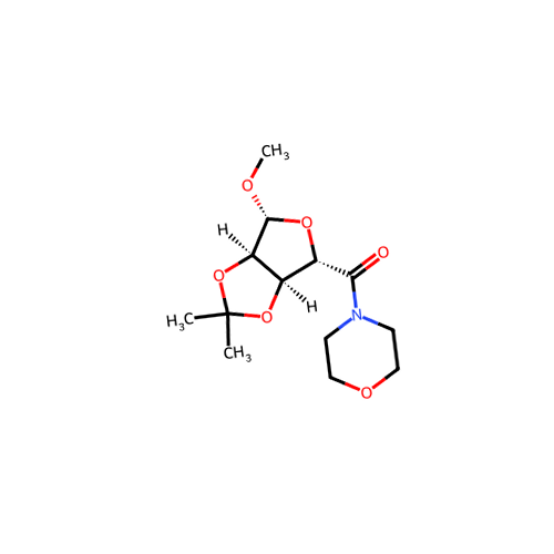 CO[C@@H]1O[C@H](C(=O)N2CCOCC2)[C@H]2OC(C)(C)O[C@@H]12